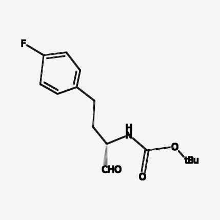 CC(C)(C)OC(=O)N[C@H](C=O)CCc1ccc(F)cc1